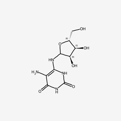 Nc1c(NC2O[C@H](CO)[C@@H](O)[C@H]2O)[nH]c(=O)[nH]c1=O